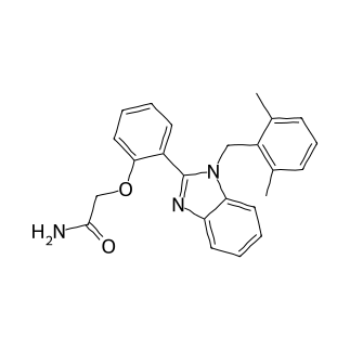 Cc1cccc(C)c1Cn1c(-c2ccccc2OCC(N)=O)nc2ccccc21